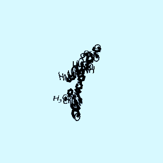 CC(C)Oc1ccccc1[C@@H]1CN(c2cc3c(cn2)CCOC3)CCN1C1CC2(CCN(c3ccc(C(=O)NS(=O)(=O)c4cc5c(c([N+](=O)[O-])c4)N[C@H](C4CCOCC4)CO5)c(N4c5cc6cc[nH]c6nc5O[C@H]5COCC[C@@H]54)c3)CC2)C1